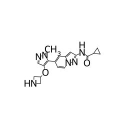 Cn1ncc(OC2CNC2)c1-c1ccn2nc(NC(=O)C3CC3)cc2c1